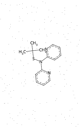 CC(C)(C)SN(c1ccccn1)c1ccccn1